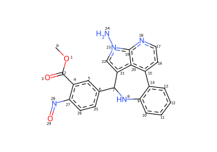 COC(=O)c1cc(C2Nc3ccccc3-c3ccnc4c3c2cn4N)ccc1N=O